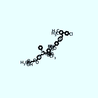 CC1(C)CCC(c2ccc(Cl)cc2)=C(CN2CCN(c3ccc(C(=O)NS(=O)(=O)c4ccc(N[C@H](CCN5CCC(C(=O)OCCCP(C)(=O)O)CC5)CSc5ccccc5)c(S(=O)(=O)C(F)(F)F)c4)cc3)CC2)C1